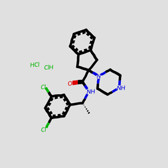 C[C@@H](NC(=O)C1(N2CCNCC2)Cc2ccccc2C1)c1cc(Cl)cc(Cl)c1.Cl.Cl